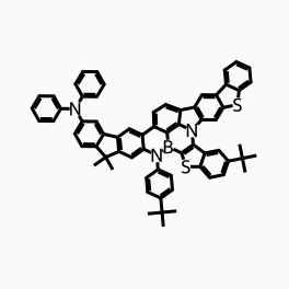 CC(C)(C)c1ccc(N2B3c4sc5ccc(C(C)(C)C)cc5c4-n4c5cc6sc7ccccc7c6cc5c5ccc(c3c54)-c3cc4c(cc32)C(C)(C)c2ccc(N(c3ccccc3)c3ccccc3)cc2-4)cc1